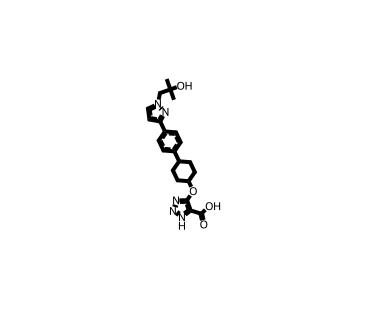 CC(C)(O)Cn1ccc(-c2ccc(C3CCC(Oc4nn[nH]c4C(=O)O)CC3)cc2)n1